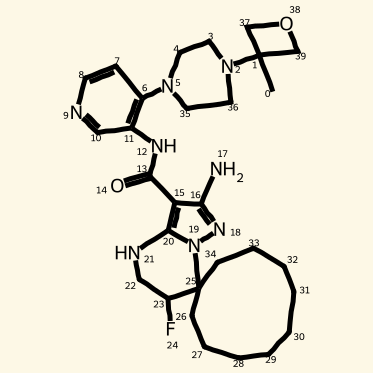 CC1(N2CCN(c3ccncc3NC(=O)c3c(N)nn4c3NCC(F)C43CCCCCCCCC3)CC2)COC1